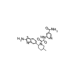 CC1CCC(c2ccc3sc(N)nc3c2)N(C(=O)C(=O)Nc2cncc(C(N)=O)c2)C1